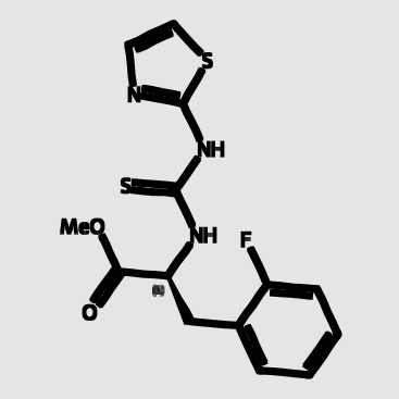 COC(=O)[C@H](Cc1ccccc1F)NC(=S)Nc1nccs1